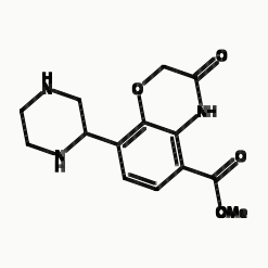 COC(=O)c1ccc(C2CNCCN2)c2c1NC(=O)CO2